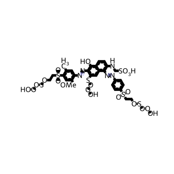 COc1cc(S(=O)(=O)CCOSOOO)c(C)cc1/N=N/c1c(SOOO)cc2c(/N=N/c3ccc(S(=O)(=O)CCOSOOO)cc3)c(NCS(=O)(=O)O)ccc2c1O